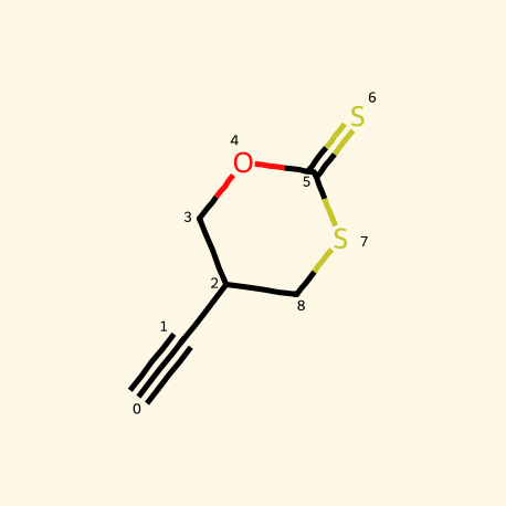 C#CC1COC(=S)SC1